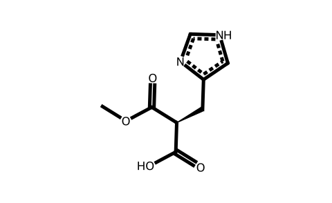 COC(=O)[C@@H](Cc1c[nH]cn1)C(=O)O